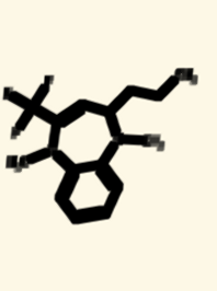 CCCC1C=C(C(F)(F)F)N(C)c2ccccc2N1C